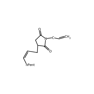 C=CCN1C(=O)CC(C/C=C\CCCCC)C1=O